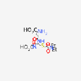 CCN(CC)C(=O)C(=O)CSCC(NC(=O)CCC(N)C(=O)O)C(=O)N(C)C(=O)O